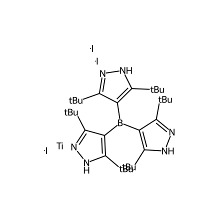 CC(C)(C)c1n[nH]c(C(C)(C)C)c1B(c1c(C(C)(C)C)n[nH]c1C(C)(C)C)c1c(C(C)(C)C)n[nH]c1C(C)(C)C.[I].[I].[I].[Ti]